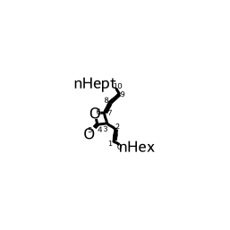 CCCCCCC=CC1C(=O)OC1=C=CCCCCCCC